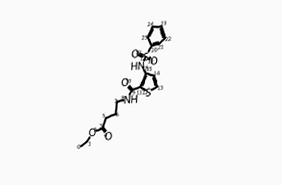 CCOC(=O)CCCNC(=O)c1sccc1NS(=O)(=O)c1ccccc1